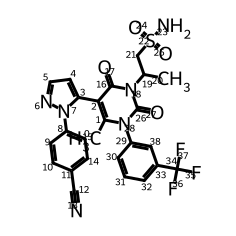 Cc1c(-c2ccnn2-c2ccc(C#N)cc2)c(=O)n(C(C)CS(N)(=O)=O)c(=O)n1-c1cccc(C(F)(F)F)c1